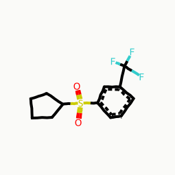 O=S(=O)(c1c[c]cc(C(F)(F)F)c1)C1CCCC1